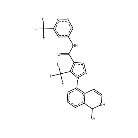 O=C(Nc1cnnc(C(F)(F)F)c1)c1cnn(-c2cccc3c2C=CNC3S)c1C(F)(F)F